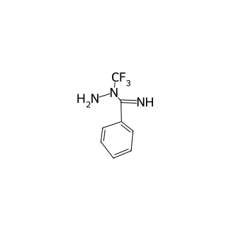 N=C(c1ccccc1)N(N)C(F)(F)F